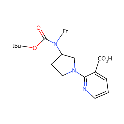 CCN(C(=O)OC(C)(C)C)C1CCN(c2ncccc2C(=O)O)C1